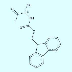 CC(C)(C)[C@H](NC(=O)OCC1c2ccccc2-c2ccccc21)C(=O)F